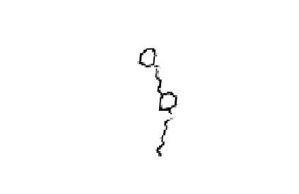 [CH2]CCCCCOC1CCCC(CCCOC2CC[CH]CCC2)CC1